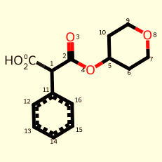 O=C(O)C(C(=O)OC1CCOCC1)c1ccccc1